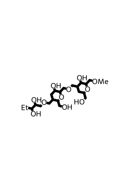 CCC(O)C(O)COCC1CC(O)C(COCC2CC(CO)OC(COC)C2O)OC1CO